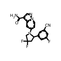 N#Cc1cc(F)cc(C2CC(F)(F)CN2c2ccn3ncc(C(N)=O)c3c2)c1